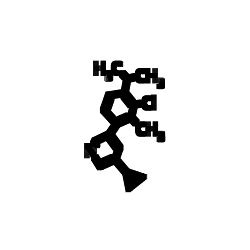 Cc1c(-c2cncc(C3CC3)c2)ccc(C(C)C)c1Cl